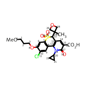 COCCCOc1cc2c(cc1Cl)-c1c(cc(C(=O)O)c(=O)n1C1CC1)C(C1(C)COC1)S2(=O)=O